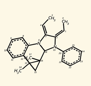 C/C=C1\C(=C/C)N2c3ccccc3C3(C)CC3(C)C2N1c1ccccc1